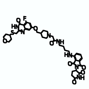 O=C(CN1CCC(COc2cc(F)c3c(=O)[nH]c(CSC4CCOCC4)nc3c2)CC1)NCCCCNc1cccc2c1C(=O)N(C1CCC(=O)NC1=O)C2=O